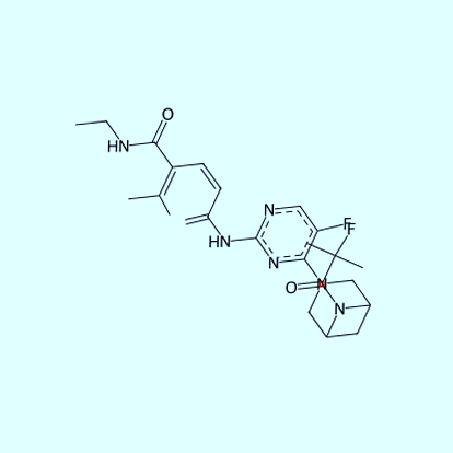 C=C(/C=C\C(C(=O)NCC)=C(C)C)Nc1ncc(F)c(N2CC3CC(C2)N3C(=O)C(C)(C)F)n1